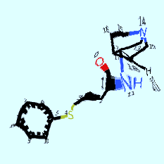 O=C(C=CSc1ccccc1)N[C@H]1CN2CCC1CC2